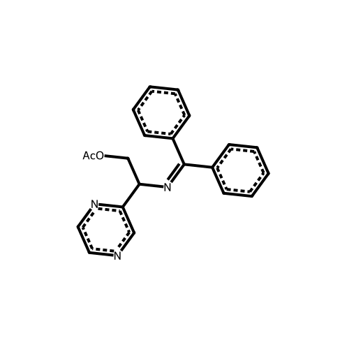 CC(=O)OCC(N=C(c1ccccc1)c1ccccc1)c1cnccn1